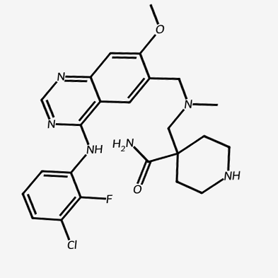 COc1cc2ncnc(Nc3cccc(Cl)c3F)c2cc1CN(C)CC1(C(N)=O)CCNCC1